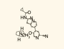 CN1[C@@H]2CC[C@H]1C[C@@H](COc1cnc(C#N)cc1-c1ccn3nc(NC(=O)C4CC4)cc3c1)C2